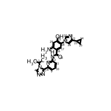 CC(C)n1cnnc1-c1cccc(NC(=O)c2cc(-n3cnc(C4CC4)c3)c(O)cc2N)n1